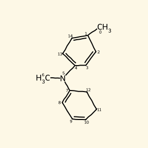 Cc1ccc(N(C)C2=CC=CCC2)cc1